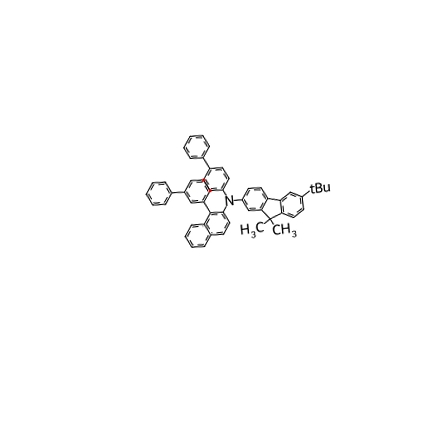 CC(C)(C)c1ccc2c(c1)-c1ccc(N(c3ccc(-c4ccccc4)cc3)c3ccc4ccccc4c3-c3cccc(-c4ccccc4)c3)cc1C2(C)C